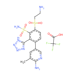 Cc1cc(-c2ccc(S(=O)(=O)CCN)c(S(N)(=O)=O)c2-c2nnn[nH]2)cnc1N.O=C(O)C(F)(F)F